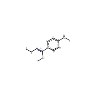 CC/C=C(\CC)c1ccc(OC)cc1